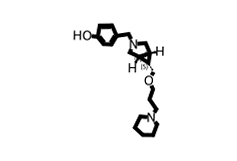 Oc1ccc(CN2C[C@@H]3[C@H](COCCCN4CCCCC4)[C@@H]3C2)cc1